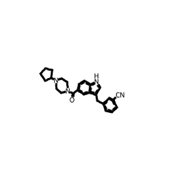 N#Cc1cccc(Cc2c[nH]c3ccc(C(=O)N4CCN(C5CCCC5)CC4)cc23)c1